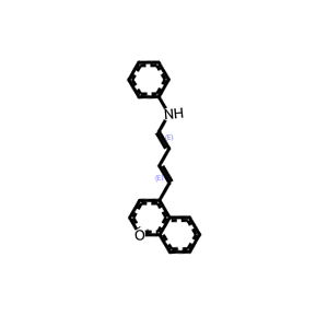 C(/C=C/c1cc[o+]c2ccccc12)=C\Nc1ccccc1